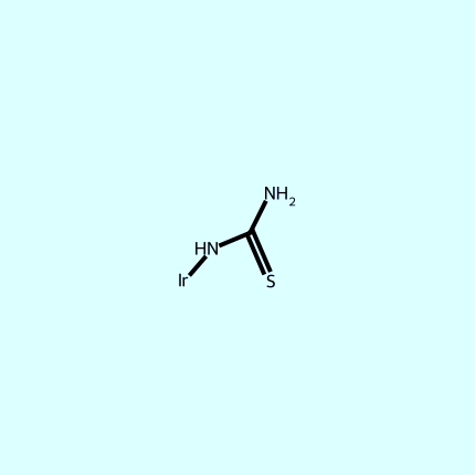 NC(=S)[NH][Ir]